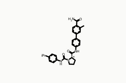 Cc1cc(-c2ccc(NC(=O)[C@H]3CCCN3C(=O)Nc3ccc(C(C)C)cc3)cc2)ccc1C(N)=O